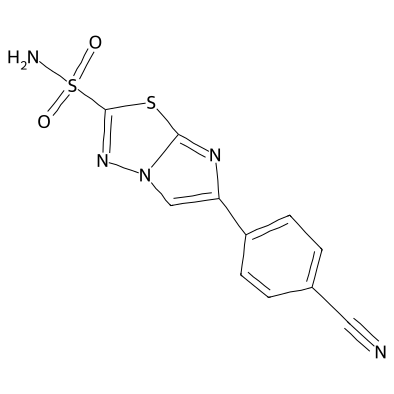 N#Cc1ccc(-c2cn3nc(S(N)(=O)=O)sc3n2)cc1